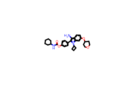 Nc1c(-c2ccc(OC(=O)NC3CCCCC3)cc2)n(C2CCC2)c2cc(OC3CCOCC3)ccc12